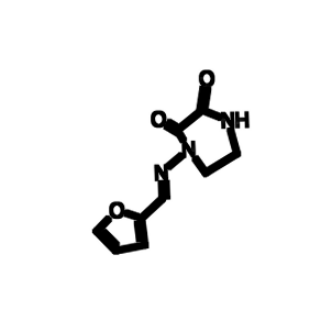 O=C1NCCN(/N=C/c2ccco2)C1=O